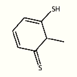 CC1C(=S)C=CC=C1S